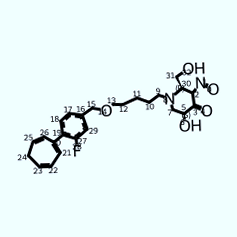 O=NC1C(=O)[C@@H](O)CN(CCCCCOCc2ccc(C3=CC=CCC=C3)c(F)c2)[C@H]1CO